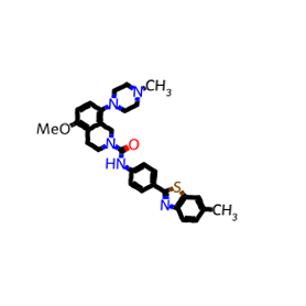 COc1ccc(N2CCN(C)CC2)c2c1CCN(C(=O)Nc1ccc(-c3nc4ccc(C)cc4s3)cc1)C2